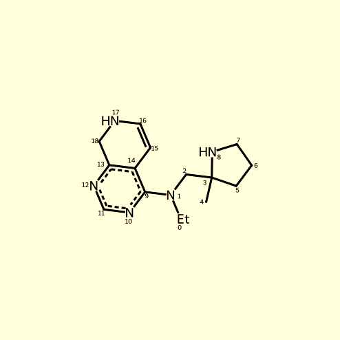 CCN(CC1(C)CCCN1)c1ncnc2c1C=CNC2